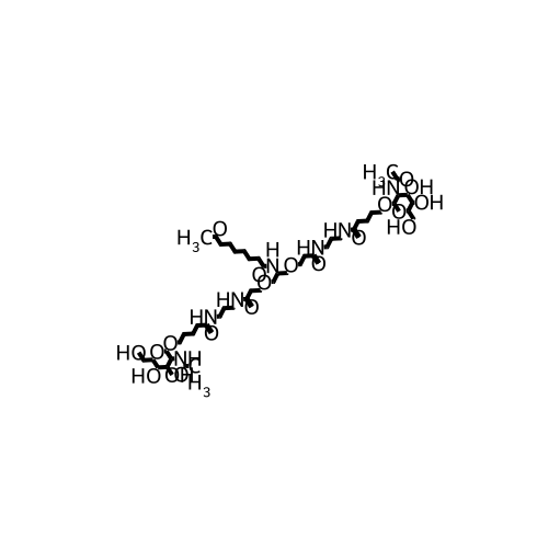 CC(=O)CCCCCCC(=O)NC(COCCC(=O)NCCCNC(=O)CCCCOC1OC(CO)C(O)C(O)C1NC(C)=O)COCCC(=O)NCCCNC(=O)CCCCOC1OC(CO)C(O)C(O)C1NC(C)=O